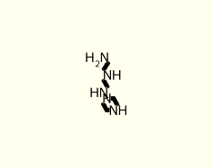 NCCNCCNN1CCNCC1